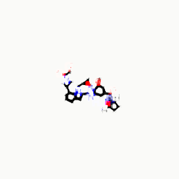 COCC(=O)N1CC(c2cccc3cc(-c4nc5cc(C(=O)N6C[C@H]7CC[C@@H]6[C@@H]7N)cc(OC)c5n4C)n(CC4CC4)c23)C1